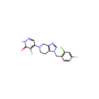 O=c1[nH]ncc(N2CCc3c(ncn3Cc3ccc(F)cc3Cl)C2)c1Cl